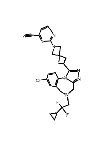 N#Cc1ccnc(N2CC3(CC(c4nnc5n4-c4ccc(Cl)cc4CN(CC(F)(F)C4CC4)C5)C3)C2)n1